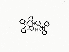 CC1CC=CC2=C1c1c(c3ccccc3n1-c1ccccc1)C1=C(C=CCC1)N2C1C=C(C2Nc3ccccc3N2c2ccccc2)C=CC1